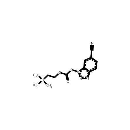 C[Si](C)(C)CCOC(=O)On1nnc2ccc(C#N)cc21